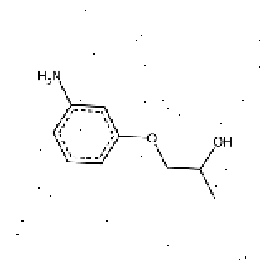 CC(O)COc1cccc(N)c1